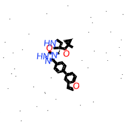 CC1(C(=O)[C@]2(Cn3c(-c4ccc(-c5ccc6occc6c5)cc4)n[nH]c3=O)CCNC2)CC1